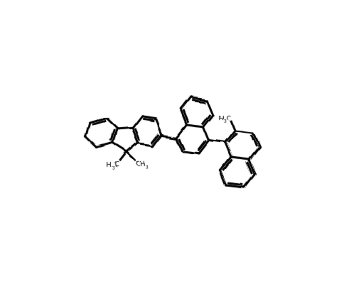 Cc1ccc2ccccc2c1-c1ccc(-c2ccc3c(c2)C(C)(C)C2=C3C=CCC2)c2ccccc12